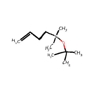 C=CCC[Si](C)(C)OC(C)(C)C